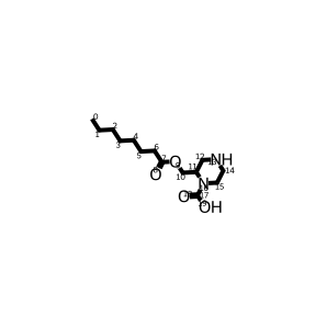 CCCCCCCC(=O)OCC1CNCCN1C(=O)O